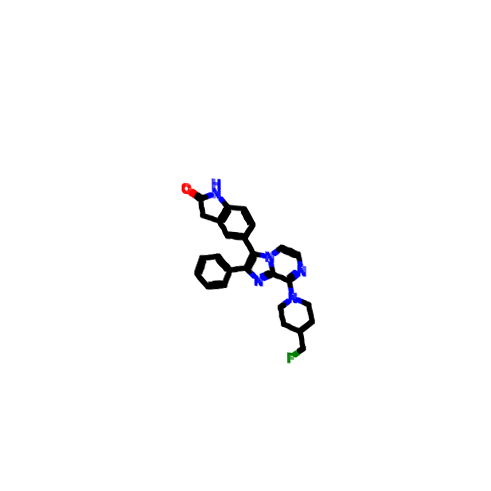 O=C1Cc2cc(-c3c(-c4ccccc4)nc4c(N5CCC(CF)CC5)nccn34)ccc2N1